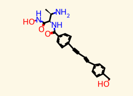 C[C@@H](N)[C@H](NC(=O)c1ccc(C#CC#Cc2ccc(CO)cc2)cc1)C(=O)NO